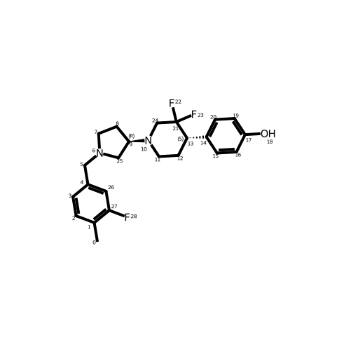 Cc1ccc(CN2CC[C@@H](N3CC[C@@H](c4ccc(O)cc4)C(F)(F)C3)C2)cc1F